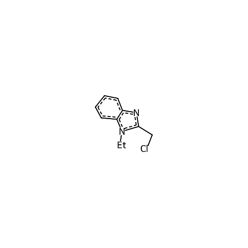 CCn1c(CCl)nc2ccccc21